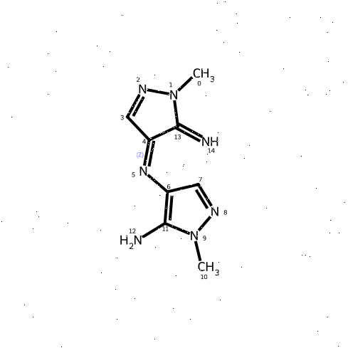 CN1N=C/C(=N/c2cnn(C)c2N)C1=N